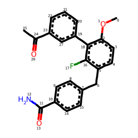 COc1ccc(Cc2ccc(C(N)=O)cc2)c(F)c1-c1cccc(C(C)=O)c1